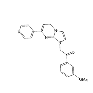 COc1cccc(C(=O)CN2C=CN3CC=C(c4ccncc4)N=C32)c1